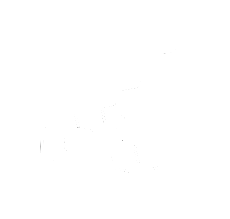 COCCOCCn1cc(NC(=O)c2ccccn2)c(-c2ccccn2)n1.O=CO